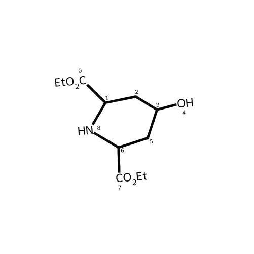 CCOC(=O)C1CC(O)CC(C(=O)OCC)N1